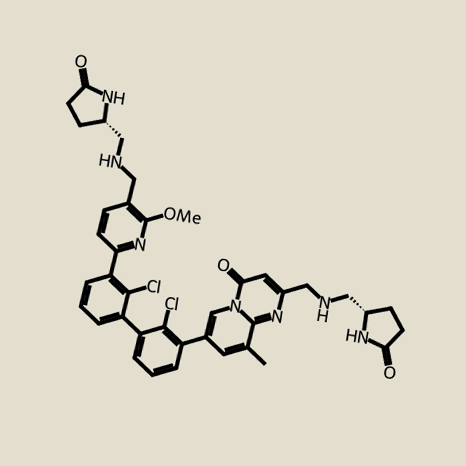 COc1nc(-c2cccc(-c3cccc(-c4cc(C)c5nc(CNC[C@@H]6CCC(=O)N6)cc(=O)n5c4)c3Cl)c2Cl)ccc1CNC[C@@H]1CCC(=O)N1